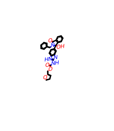 O=C(Nc1nc2cc(C3(O)c4ccccc4C(=O)N3Cc3ccccc3)ccc2[nH]1)OCC1CCCO1